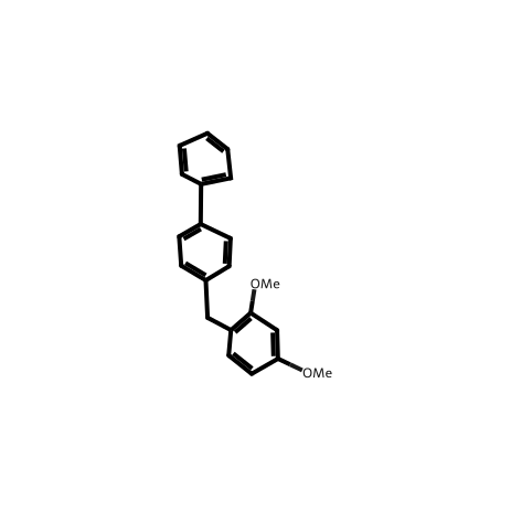 COc1ccc(Cc2ccc(-c3ccccc3)cc2)c(OC)c1